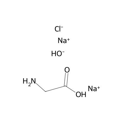 NCC(=O)O.[Cl-].[Na+].[Na+].[OH-]